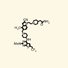 CNc1nc(NC2CCN(Cc3ccc4c(cc(C#N)n4CCN4CCC(CC(N)=O)CC4)c3C)CC2)c2cc(CC(F)(F)F)sc2n1